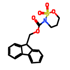 O=C(OCC1c2ccccc2-c2ccccc21)N1CCCOS1(=O)=O